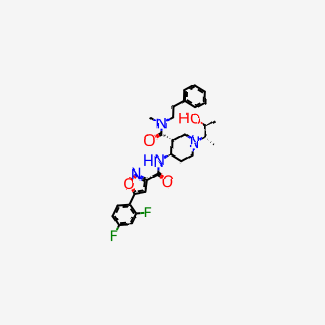 C[C@H](O)[C@H](C)N1CC[C@@H](NC(=O)c2cc(-c3ccc(F)cc3F)on2)[C@H](C(=O)N(C)CCc2ccccc2)C1